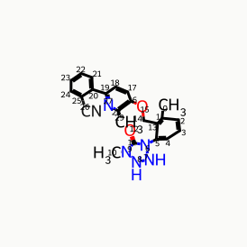 Cc1cccc(N2NNN(C)C2=O)c1COc1ccc(-c2ccccc2C#N)nc1C